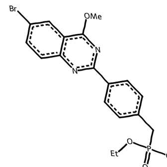 CCOP(=O)(O)Cc1ccc(-c2nc(OC)c3cc(Br)ccc3n2)cc1